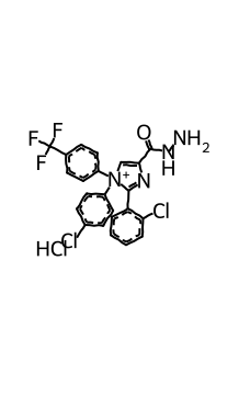 Cl.NNC(=O)C1=C[N+](c2ccc(Cl)cc2)(c2ccc(C(F)(F)F)cc2)C(c2ccccc2Cl)=N1